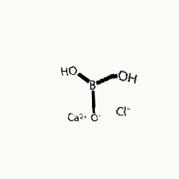 [Ca+2].[Cl-].[O-]B(O)O